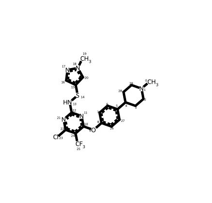 CN1CCC(c2ccc(Oc3nc(NSc4cnn(C)c4)nc(Cl)c3C(F)(F)F)cc2)CC1